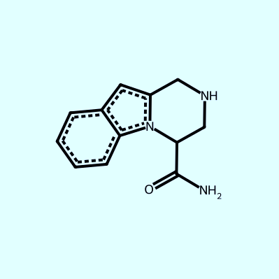 NC(=O)C1CNCc2cc3ccccc3n21